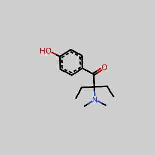 CCC(CC)(C(=O)c1ccc(O)cc1)N(C)C